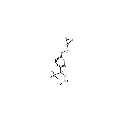 C[SiH](C)OC(c1ccc(CNC2CC2)cn1)C(C)(C)C